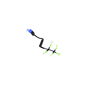 N#CC=CC(F)(F)C(F)(F)F